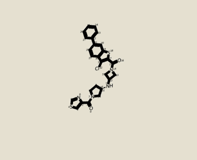 O=C(c1cscn1)N1CC[C@H](NC2CN(C(=O)c3sc4cc(-c5ccccc5)ccc4c3Cl)C2)C1